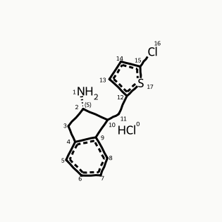 Cl.N[C@H]1Cc2ccccc2C1Cc1ccc(Cl)s1